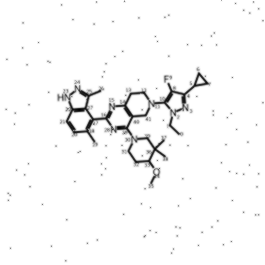 CCn1nc(C2CC2)c(F)c1N1CCc2nc(-c3c(C)ccc4[nH]nc(C)c34)nc(N3CCC(OC)C(C)(C)C3)c2C1